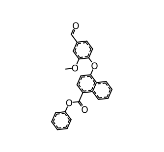 COc1cc(C=O)ccc1Oc1ccc(C(=O)Oc2ccccc2)c2ccccc12